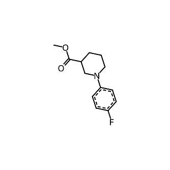 COC(=O)C1CCCN(c2ccc(F)cc2)C1